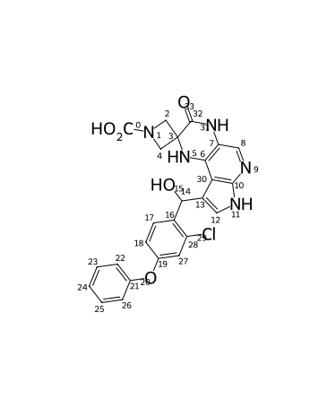 O=C(O)N1CC2(C1)Nc1c(cnc3[nH]cc(C(O)c4ccc(Oc5ccccc5)cc4Cl)c13)NC2=O